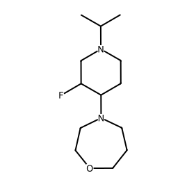 CC(C)N1CCC(N2CCCOCC2)C(F)C1